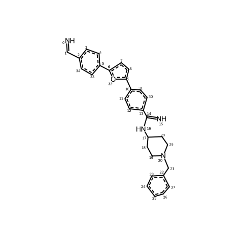 N=Cc1ccc(-c2ccc(-c3ccc(C(=N)NC4CCN(Cc5ccccc5)CC4)cc3)o2)cc1